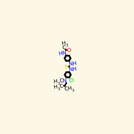 CC(=O)Nc1ccc(NC(=S)Nc2ccc(N(C)CC(C)C)c(Cl)c2)cc1